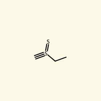 C#S(=S)CC